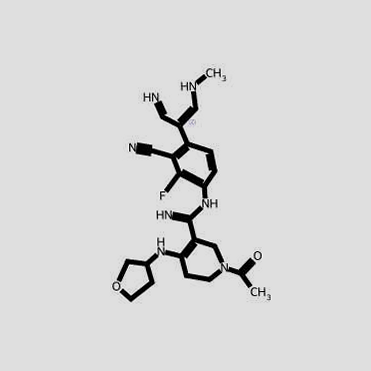 CN/C=C(\C=N)c1ccc(NC(=N)C2=C(NC3CCOC3)CCN(C(C)=O)C2)c(F)c1C#N